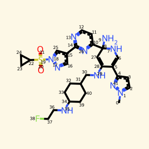 Cn1ccc(C2=CNC(N)(c3ccnc(-c4cnn(S(=O)(=O)C5CC5)c4)n3)C=C2NCC2CCC(NCCF)CC2)n1